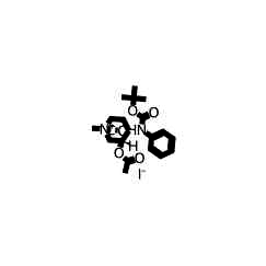 CC(=O)O[C@H]1C[N+]2(C)CCC1CC2.CC(C)(C)OC(=O)Nc1ccccc1.[I-]